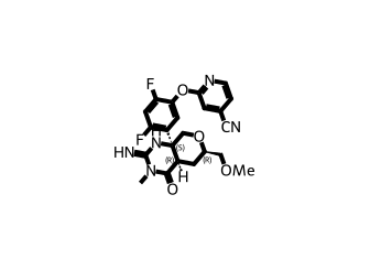 COC[C@H]1C[C@H]2C(=O)N(C)C(=N)N[C@@]2(c2cc(Oc3cc(C#N)ccn3)c(F)cc2F)CO1